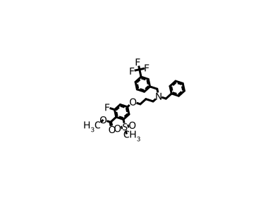 COC(=O)c1c(F)cc(OCCCN(Cc2ccccc2)Cc2cccc(C(F)(F)F)c2)cc1S(C)(=O)=O